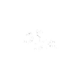 CC1=CC(C2CC(C)(C)CC2C)CC(C)C1O